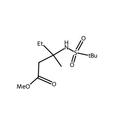 CCC(C)(CC(=O)OC)NS(=O)(=O)C(C)(C)C